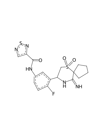 N=C1NC(c2cc(NC(=O)c3cnsn3)ccc2F)CS(=O)(=O)C12CCCC2